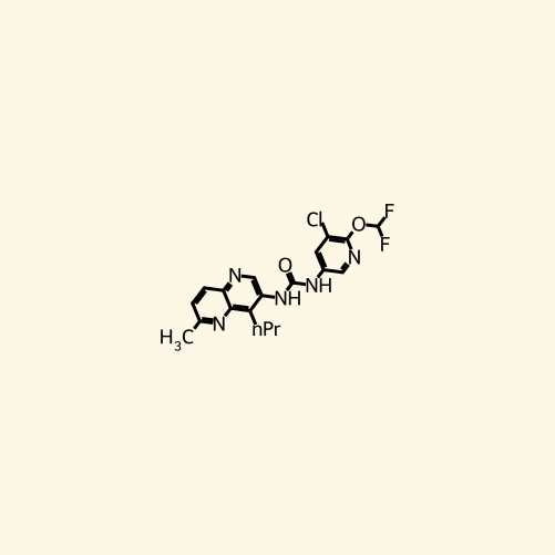 CCCc1c(NC(=O)Nc2cnc(OC(F)F)c(Cl)c2)cnc2ccc(C)nc12